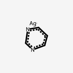 [Ag].c1cncnc1